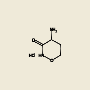 Cl.NC1CCONC1=O